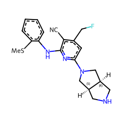 CSc1ccccc1Nc1nc(N2C[C@H]3CNC[C@H]3C2)cc(CF)c1C#N